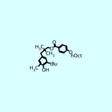 CCCCCCCCOc1ccc(C(=O)OCC(C)(C)Cc2cc(C)c(O)c(C(C)(C)C)c2)cc1